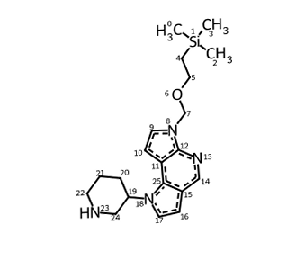 C[Si](C)(C)CCOCn1ccc2c1ncc1ccn(C3CCCNC3)c12